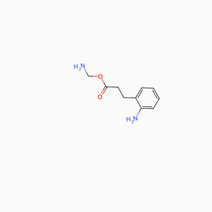 NCOC(=O)CCc1ccccc1N